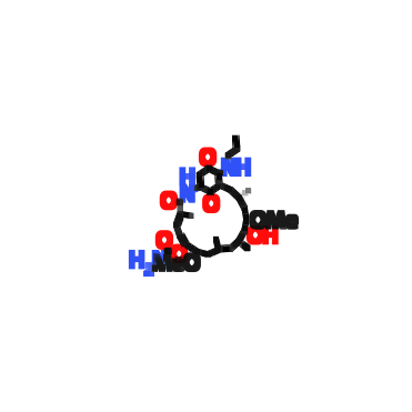 C=CCNC1=C2C[C@H](C)C[C@H](OC)[C@H](O)[C@@H](C)/C=C(\C)C[C@H](OC)/C(OC(N)=O)=C\C=C(/C)C(=O)NC(=CC1=O)C2=O